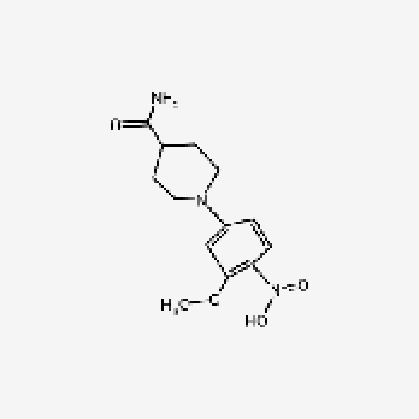 COc1cc(N2CCC(C(N)=O)CC2)ccc1[N+](=O)O